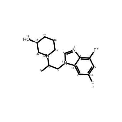 CC(Cn1cnc2c(F)cc(F)cc21)N1CCC[C@H](O)C1